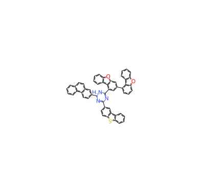 N/C(=N\C(=N/Cc1ccc2c(ccc3ccccc32)c1)c1ccc2sc3ccccc3c2c1)c1cc(-c2cccc3oc4ccccc4c23)cc2oc3ccccc3c12